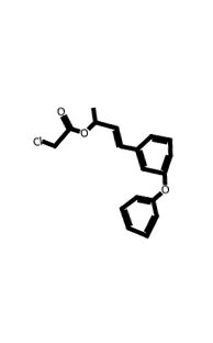 CC(C=Cc1cccc(Oc2ccccc2)c1)OC(=O)CCl